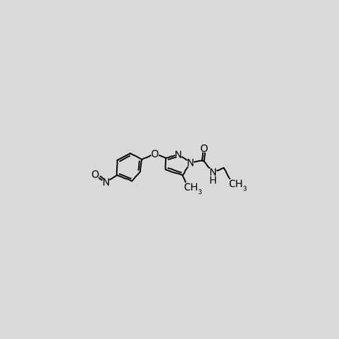 CCNC(=O)n1nc(Oc2ccc(N=O)cc2)cc1C